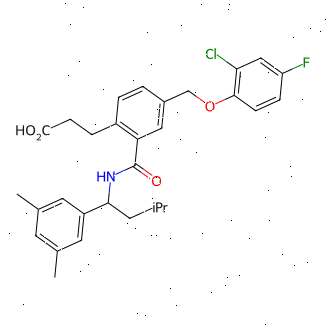 Cc1cc(C)cc(C(CC(C)C)NC(=O)c2cc(COc3ccc(F)cc3Cl)ccc2CCC(=O)O)c1